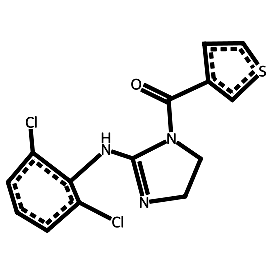 O=C(c1ccsc1)N1CCN=C1Nc1c(Cl)cccc1Cl